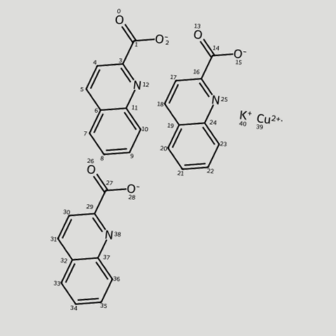 O=C([O-])c1ccc2ccccc2n1.O=C([O-])c1ccc2ccccc2n1.O=C([O-])c1ccc2ccccc2n1.[Cu+2].[K+]